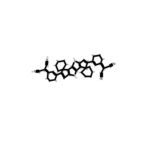 N#CC(C#N)=C1C=C(C2=Cc3sc4c5c(sc4c3C23CCCCC3)C=C(C2=CC(=C(C#N)C#N)CCC2)C52CCCCC2)CCC1